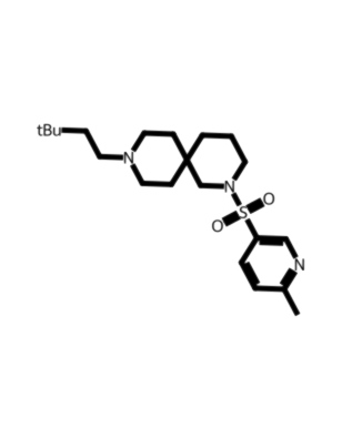 Cc1ccc(S(=O)(=O)N2CCCC3(CCN(CCC(C)(C)C)CC3)C2)cn1